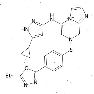 CCc1nnc(-c2ccc(SN3C=C(Nc4cc(C5CC5)[nH]n4)[N+]4C=CN=C4C3)cc2)o1